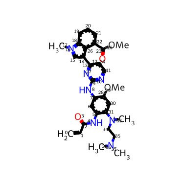 C=CC(=O)Nc1cc(Nc2nccc(-c3cn(C)c4cccc(C(=O)OC)c34)n2)c(OC)cc1N(C)CCN(C)C